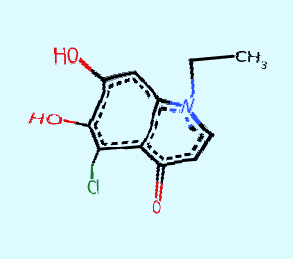 CCn1ccc(=O)c2c(Cl)c(O)c(O)cc21